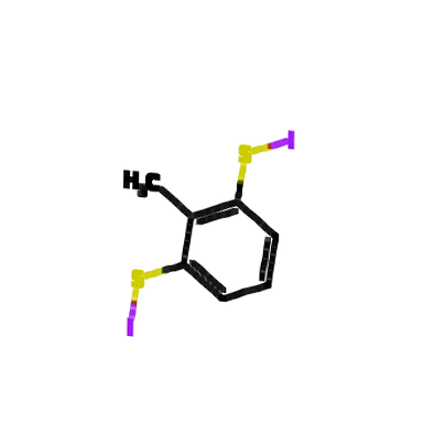 Cc1c(SI)cccc1SI